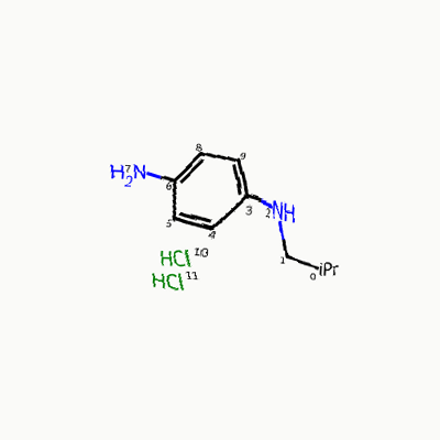 CC(C)CNc1ccc(N)cc1.Cl.Cl